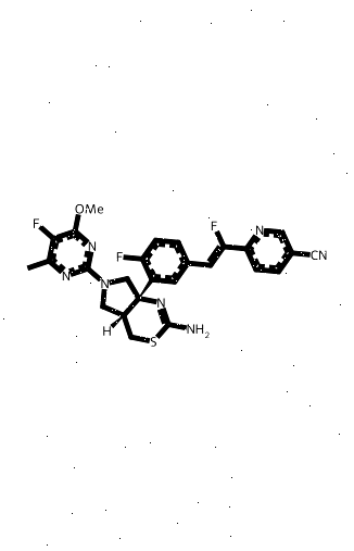 COc1nc(N2C[C@H]3CSC(N)=N[C@@]3(c3cc(/C=C(\F)c4ccc(C#N)cn4)ccc3F)C2)nc(C)c1F